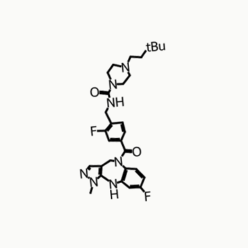 Cn1ncc2c1Nc1cc(F)ccc1N(C(=O)c1ccc(CNC(=O)N3CCN(CCC(C)(C)C)CC3)c(F)c1)C2